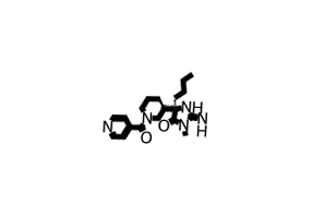 CCCC[C@]1([C@@H]2CCCN(C(=O)c3ccncc3)C2)NC(=N)N(C)C1=O